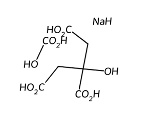 O=C(O)CC(O)(CC(=O)O)C(=O)O.O=C(O)O.[NaH]